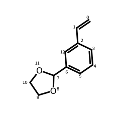 C=Cc1cccc(C2OCCO2)c1